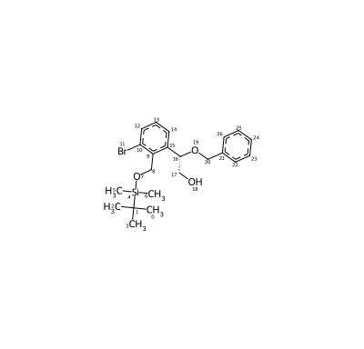 CC(C)(C)[Si](C)(C)OCc1c(Br)cccc1[C@@H](CO)OCc1ccccc1